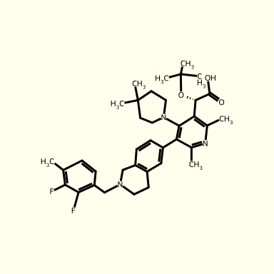 Cc1ccc(CN2CCc3cc(-c4c(C)nc(C)c([C@H](OC(C)(C)C)C(=O)O)c4N4CCC(C)(C)CC4)ccc3C2)c(F)c1F